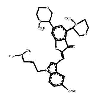 COc1ccc2c(c1)c(/C=C1\Oc3cc(C4COCCN4C(=O)O)cc(C4COCCN4C(=O)O)c3C1=O)cn2CCCN(C)C